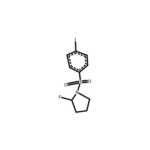 O=S(=O)(c1ccc(I)cc1)N1CCCC1F